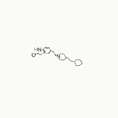 O=C1Cc2cc(CCN3CCC(CCC4CCCCC4)CC3)ccc2N1